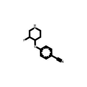 N#Cc1ccc(OC2CCNCC2F)cc1